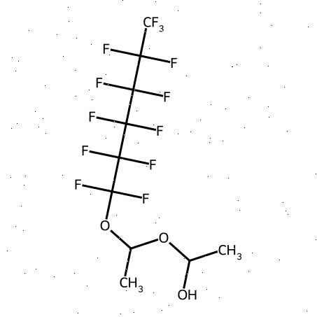 CC(O)OC(C)OC(F)(F)C(F)(F)C(F)(F)C(F)(F)C(F)(F)C(F)(F)F